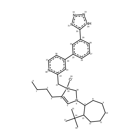 CCCCC1=CN(C2CCCCCC2C(C)(C)C)C[N+]1([O-])Cc1cc(-c2cccc(-c3nnn[nH]3)c2)ccn1